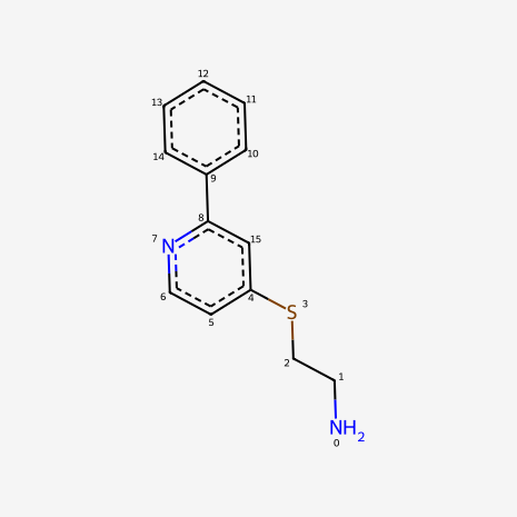 NCCSc1ccnc(-c2ccccc2)c1